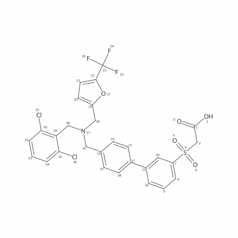 O=C(O)CS(=O)(=O)c1cccc(-c2ccc(CN(Cc3ccc(C(F)(F)F)o3)Cc3c(Cl)cccc3Cl)cc2)c1